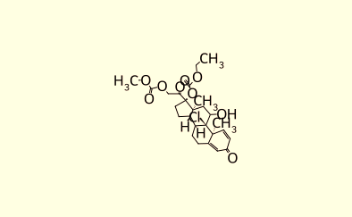 CCOC(=O)O[C@]1(C(=O)COC(=O)OC)CC[C@H]2[C@@H]3CCC4=CC(=O)C=C[C@]4(C)[C@@]3(Cl)C(O)C[C@@]21C